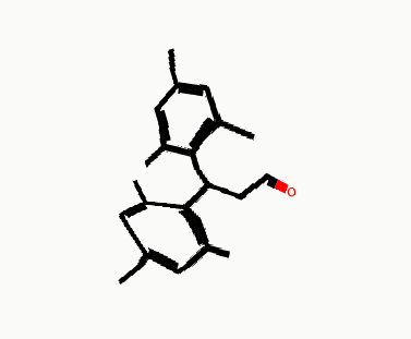 Cc1cc(C)c(C(CC=O)c2c(C)cc(C)cc2C)c(C)c1